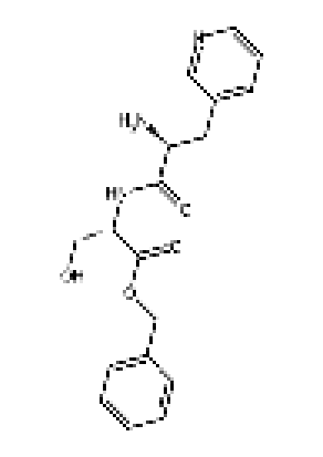 N[C@@H](Cc1cccnc1)C(=O)N[C@@H](CO)C(=O)OCc1ccccc1